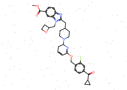 COC(=O)c1ccc2nc(CC3CCN(C4CC=CC(OCc5ccc(C(=O)C6CC6)cc5F)=N4)CC3)n(CC3CCO3)c2c1